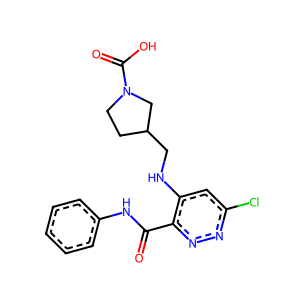 O=C(Nc1ccccc1)c1nnc(Cl)cc1NCC1CCN(C(=O)O)C1